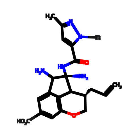 C=CC[C@@H]1COc2cc(C(=O)O)cc3c2C1[C@@](N)(NC(=O)c1cc(C)nn1CC)C3N